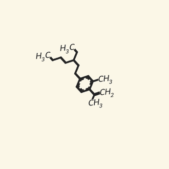 C=C(C)c1ccc(CCC(CC)CCCC)cc1C